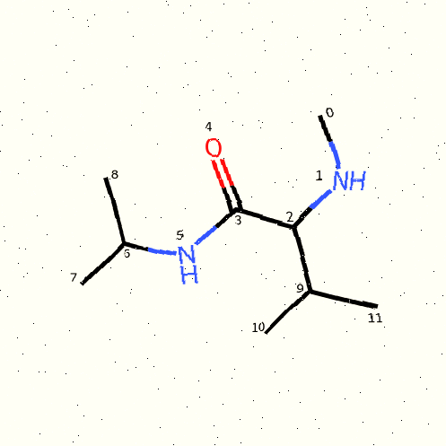 CNC(C(=O)NC(C)C)C(C)C